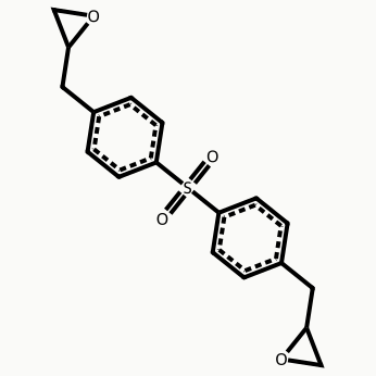 O=S(=O)(c1ccc(CC2CO2)cc1)c1ccc(CC2CO2)cc1